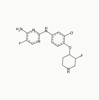 Nc1nc(Nc2ccc(OC3CCNCC3F)c(Cl)c2)ncc1F